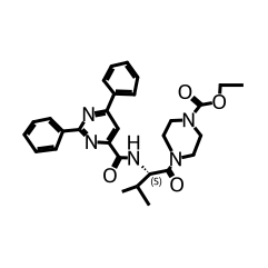 CCOC(=O)N1CCN(C(=O)[C@@H](NC(=O)c2cc(-c3ccccc3)nc(-c3ccccc3)n2)C(C)C)CC1